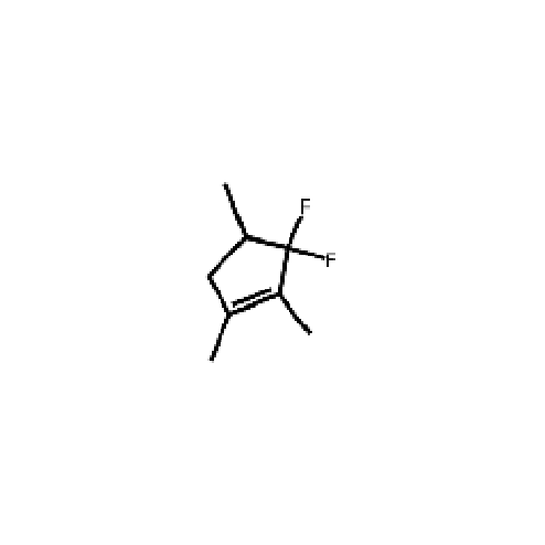 CC1=C(C)C(F)(F)C(C)C1